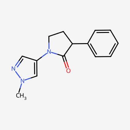 Cn1cc(N2CCC(c3ccccc3)C2=O)cn1